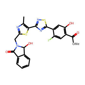 COC(=O)c1cc(F)c(-c2nc(-c3sc(CN4C(=O)c5ccccc5C4O)nc3C)ns2)cc1O